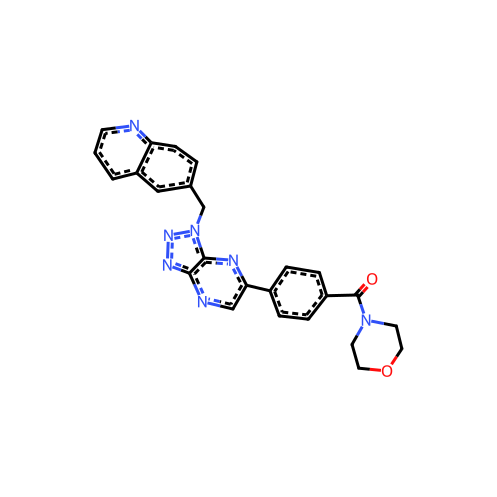 O=C(c1ccc(-c2cnc3nnn(Cc4ccc5ncccc5c4)c3n2)cc1)N1CCOCC1